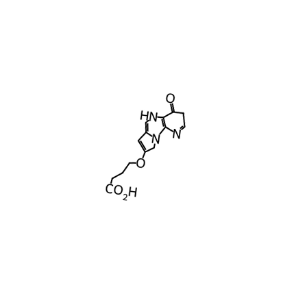 O=C(O)CCCOC1=CC2=CNC3=C(N=CCC3=O)N2C1